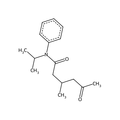 CC(=O)CC(C)CC(=O)N(c1ccccc1)C(C)C